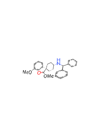 COc1cccc([C@]2(C(=O)OC)CC[C@H](NC(c3ccccc3)c3ccccc3)CC2)c1